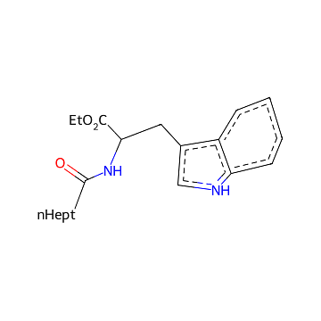 CCCCCCCC(=O)NC(Cc1c[nH]c2ccccc12)C(=O)OCC